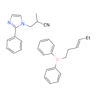 CC(C#N)Cn1ccnc1-c1ccccc1.CCC=CCCB(c1ccccc1)c1ccccc1